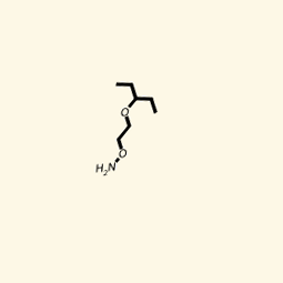 CCC(CC)OCCON